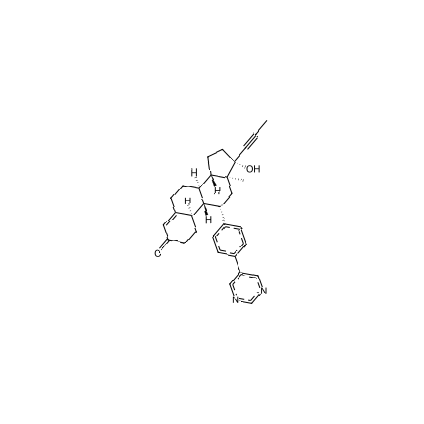 CC#C[C@]1(O)CC[C@H]2[C@@H]3CCC4=CC(=O)CC[C@@H]4[C@H]3[C@@H](c3ccc(-c4cncnc4)cc3)C[C@@]21C